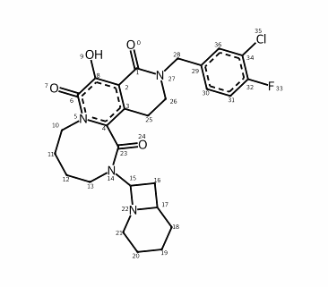 O=C1c2c(c3n(c(=O)c2O)CCCCN(C2CC4CCCCN42)C3=O)CCN1Cc1ccc(F)c(Cl)c1